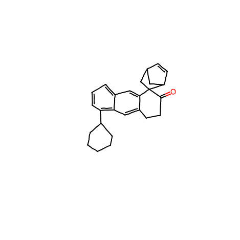 O=C1CCc2cc3c(C4CCCCC4)cccc3cc2C12CC1C=CC2C1